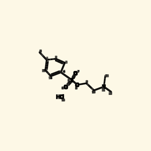 Cc1ccc(S(=O)(=O)OCCN(C)C)cc1.Cl